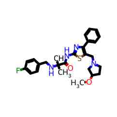 COC1CCN(Cc2sc(NC(=O)C(C)(C)NCc3ccc(F)cc3)nc2-c2ccccc2)C1